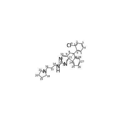 Clc1ccccc1C1Cc2cnc(NCCCN3CCCC3)nc2-c2ccccc21